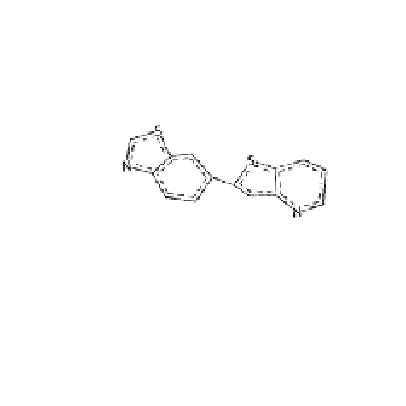 c1cnc2cc(-c3ccc4ncsc4c3)sc2c1